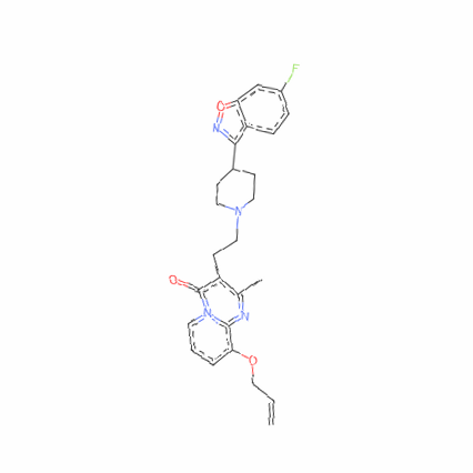 C=CCOc1cccn2c(=O)c(CCN3CCC(c4noc5cc(F)ccc45)CC3)c(C)nc12